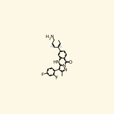 C/C=C(\C=C/CN)c1ccc2c(=O)n3nc(C)c(-c4ccc(F)cc4F)c3[nH]c2c1